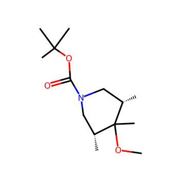 COC1(C)[C@H](C)CN(C(=O)OC(C)(C)C)C[C@@H]1C